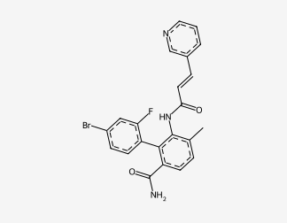 Cc1ccc(C(N)=O)c(-c2ccc(Br)cc2F)c1NC(=O)C=Cc1cccnc1